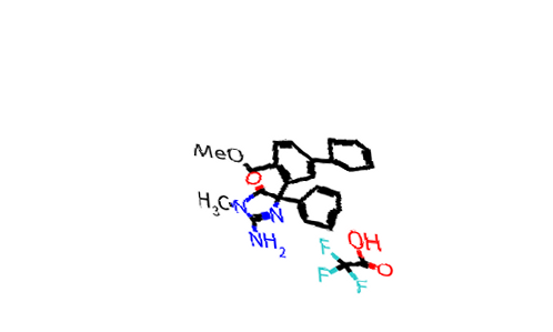 COCc1ccc(-c2ccccc2)cc1C1(c2ccccc2)N=C(N)N(C)C1=O.O=C(O)C(F)(F)F